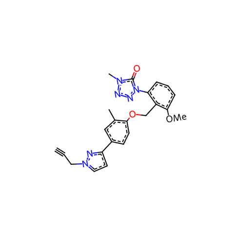 C#CCn1ccc(-c2ccc(OCc3c(OC)cccc3-n3nnn(C)c3=O)c(C)c2)n1